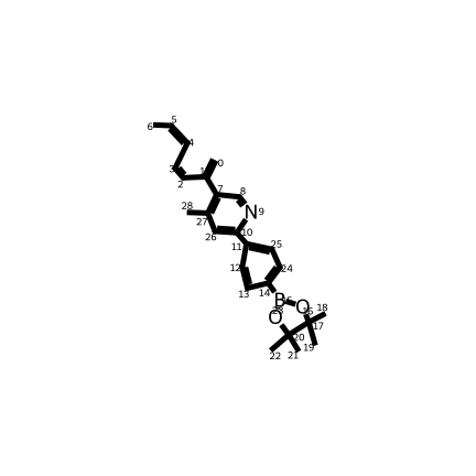 C=C(/C=C\C=C/C)c1cnc(-c2ccc(B3OC(C)(C)C(C)(C)O3)cc2)cc1C